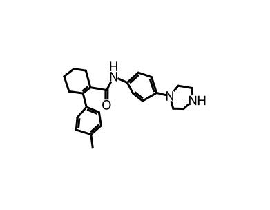 Cc1ccc(C2=C(C(=O)Nc3ccc(N4CCNCC4)cc3)CCCC2)cc1